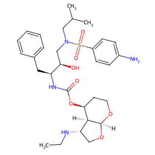 CCN[C@H]1CO[C@@H]2OCC[C@H](OC(=O)N[C@@H](Cc3ccccc3)[C@H](O)CN(CC(C)C)S(=O)(=O)c3ccc(N)cc3)[C@@H]21